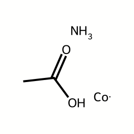 CC(=O)O.N.[Co]